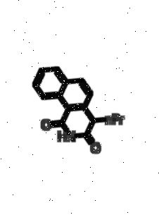 CCCC1C(=O)NC(=O)c2c1ccc1ccccc21